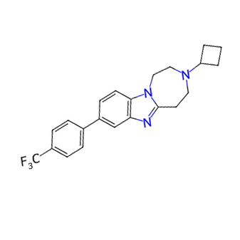 FC(F)(F)c1ccc(-c2ccc3c(c2)nc2n3CCN(C3CCC3)CC2)cc1